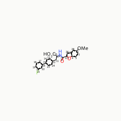 COc1ccc2oc(C(=O)NC(Cc3ccc(-c4cccc(F)c4)cc3)C(=O)O)cc2c1